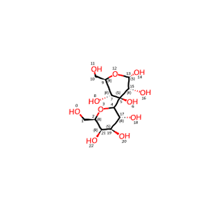 OC[C@H]1OC([C@]2(O)[C@H](O)[C@@H](CO)O[C@H](O)[C@@H]2O)[C@H](O)[C@@H](O)[C@H]1O